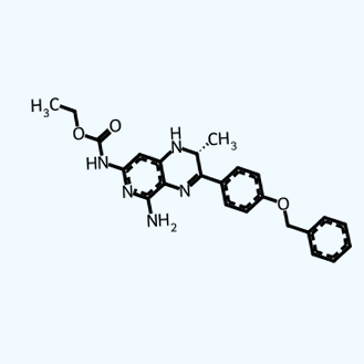 CCOC(=O)Nc1cc2c(c(N)n1)N=C(c1ccc(OCc3ccccc3)cc1)[C@@H](C)N2